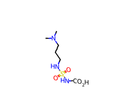 CN(C)CCCNS(=O)(=O)NC(=O)O